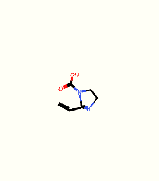 C=CC1=NCCN1C(=O)O